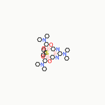 CN1c2cc3c(cc2B2c4cc5c(cc4N(C)c4cc(N(c6ccccc6)c6ccccc6)cc1c42)Oc1cc(N(c2ccccc2)c2ccccc2)cc2c1B5c1sc4ccccc4c1O2)B1c2sc4ccccc4c2Oc2cc(N(c4ccccc4)c4ccccc4)cc(c21)O3